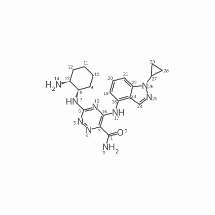 NC(=O)c1nnc(N[C@@H]2CCCC[C@@H]2N)nc1Nc1cccc2c1cnn2C1CC1